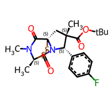 CN1C(=O)[C@@]23C[C@](C)(C(=O)OC(C)(C)C)[C@H](c4ccc(F)cc4)N2C(=O)[C@]1(C)SS3